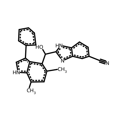 Cc1cc(C)c2[nH]cc(-c3ccccc3)c2c1C(O)c1nc2cc(C#N)ccc2[nH]1